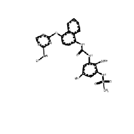 CCNc1ncnc(Oc2ccc(NC(=O)Nc3cc(C(C)(C)C)cc(NS(C)(=O)=O)c3OC)c3ccccc23)n1